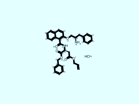 C=CCOC(=O)C[C@H](NC(=O)c1c(OC[C@H](N)Cc2ccccc2)ccc2ccccc12)C(=O)OCc1ccccc1.Cl